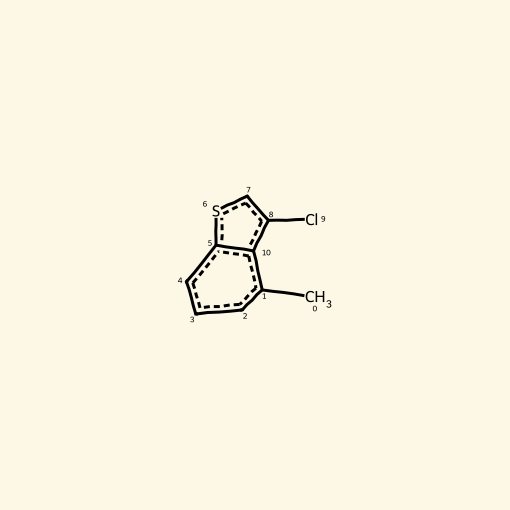 Cc1cccc2scc(Cl)c12